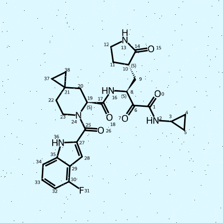 O=C(NC1CC1)C(=O)[C@H](C[C@@H]1CCNC1=O)NC(=O)[C@@H]1CC2(CCN1C(=O)c1cc3c(F)cccc3[nH]1)CC2